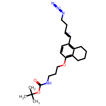 CC(C)(C)OC(=O)NCCCOc1ccc(/C=C/CCN=[N+]=[N-])c2c1CCCC2